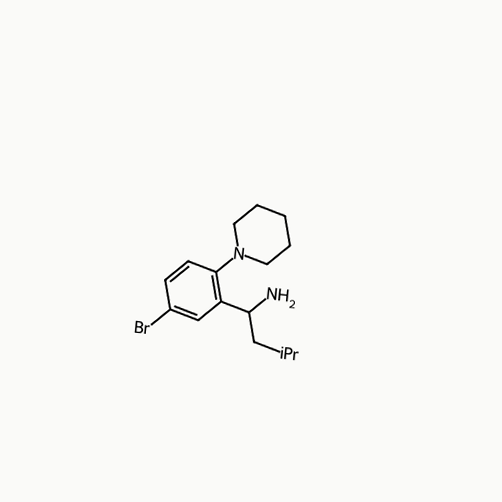 CC(C)CC(N)c1cc(Br)ccc1N1CCCCC1